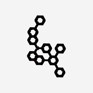 c1ccc(-c2cc(-c3ccccc3)c(-c3cccc(N(c4ccccc4)c4ccc5ccc(-c6ccccc6)cc5c4)c3)c(-c3ccccc3)c2)cc1